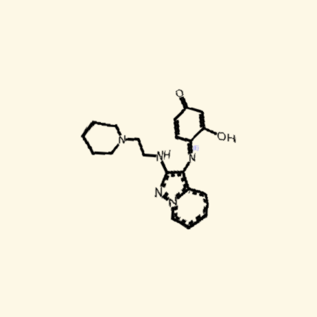 O=C1C=C/C(=N\c2c(NCCN3CCCCC3)nn3ccccc23)C(O)=C1